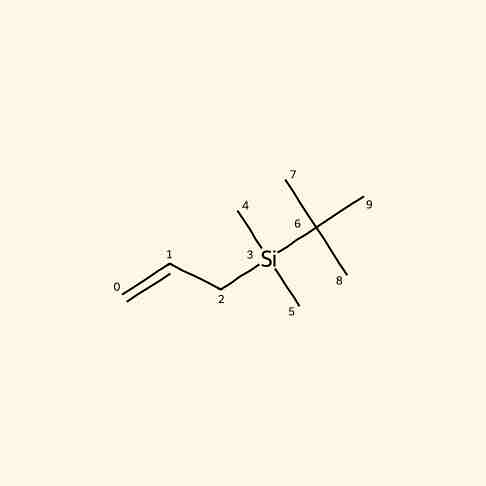 C=CC[Si](C)(C)C(C)(C)C